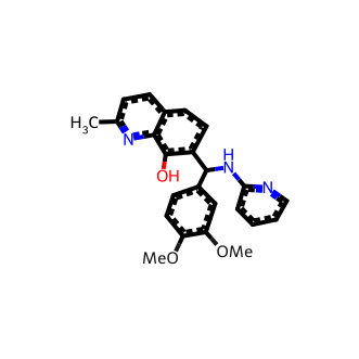 COc1ccc(C(Nc2ccccn2)c2ccc3ccc(C)nc3c2O)cc1OC